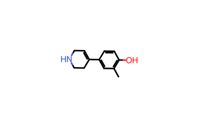 Cc1cc(C2=CCNCC2)ccc1O